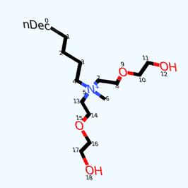 CCCCCCCCCCCCCC[N+](C)(CCOCCO)CCOCCO